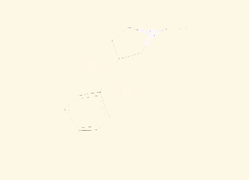 O=CN1CCC(S(=O)(=O)c2ccc(F)cc2)C1